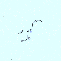 C=C/C(=C\C=C/C)NC(C)C